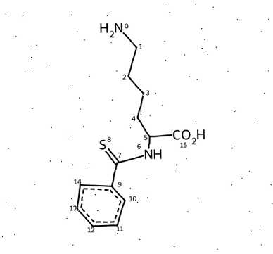 NCCCCC(NC(=S)c1ccccc1)C(=O)O